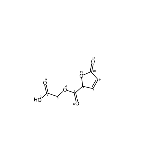 O=C(O)COC(=O)C1C=CC(=O)O1